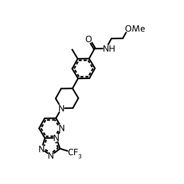 COCCNC(=O)c1ccc(C2CCN(c3ccc4nnc(C(F)(F)F)n4n3)CC2)cc1C